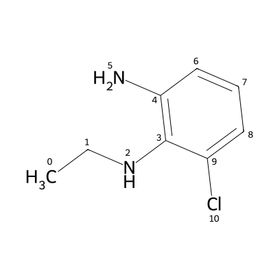 CCNc1c(N)cccc1Cl